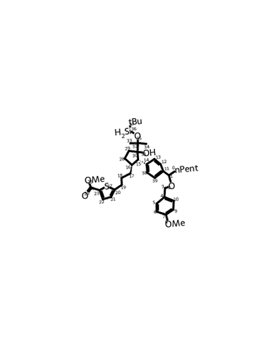 CCCCCC(OCc1ccc(OC)cc1)c1ccc([C@@H]2[C@@H](CCCc3ccc(C(=O)OC)s3)CCC2(O)C(C)(C)O[SiH2]C(C)(C)C)cc1